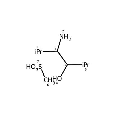 CC(C)C(N)C(O)C(C)C.CS(=O)(=O)O